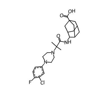 CC(C)(C(=O)NC1C2CC3CC1CC(C(=O)O)(C3)C2)N1CCN(c2ccc(F)c(Cl)c2)CC1